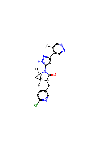 Cc1cnncc1-c1cc(N2C(=O)[C@@H](Cc3ccc(Cl)nc3)[C@H]3C[C@H]32)[nH]n1